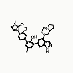 Cn1ccn(-c2ccc(-c3cc(F)cc(-c4cc(N5CCN6CCCC6C5)c5cn[nH]c5c4)c3O)cc2Cl)c1=O